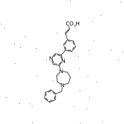 O=C(O)C=Cc1cccc(-c2cncc(N3CCCN(Cc4ccccc4)CC3)n2)c1